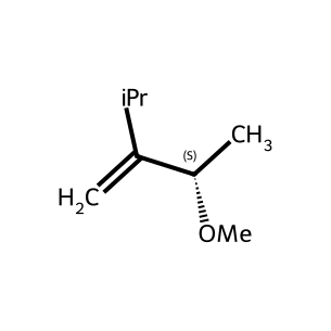 C=C(C(C)C)[C@H](C)OC